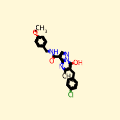 COc1ccc(CNC(=O)c2cnn3c(O)c(Cc4ccc(Cl)cc4)c(C)nc23)cc1